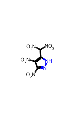 O=[N+]([O-])c1n[nH]c(C([N+](=O)[O-])[N+](=O)[O-])c1[N+](=O)[O-]